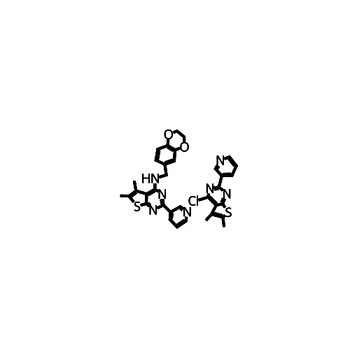 Cc1sc2nc(-c3cccnc3)nc(Cl)c2c1C.Cc1sc2nc(-c3cccnc3)nc(NCc3ccc4c(c3)OCCO4)c2c1C